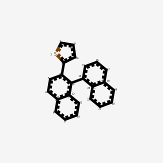 c1csc(-c2ccc3ccccc3c2-c2cccc3ccccc23)c1